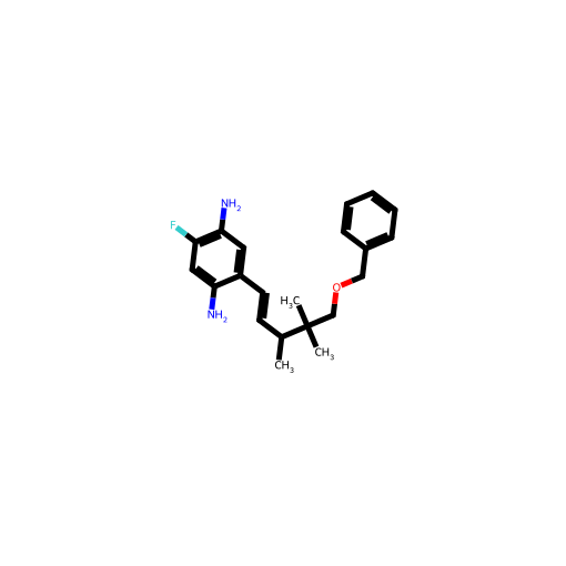 CC(/C=C/c1cc(N)c(F)cc1N)C(C)(C)COCc1ccccc1